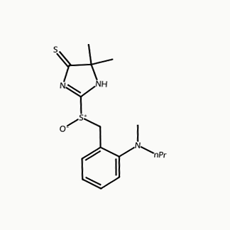 CCCN(C)c1ccccc1C[S+]([O-])C1=NC(=S)C(C)(C)N1